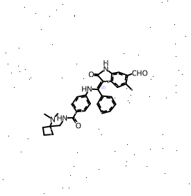 Cc1cc2c(cc1C=O)NC(=O)/C2=C(\Nc1ccc(C(=O)NCC2(N(C)C)CCC2)cc1)c1ccccc1